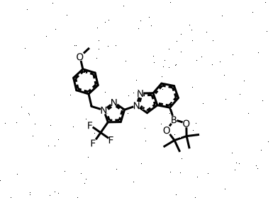 COc1ccc(Cn2nc(-n3cc4c(B5OC(C)(C)C(C)(C)O5)cccc4n3)cc2C(F)(F)F)cc1